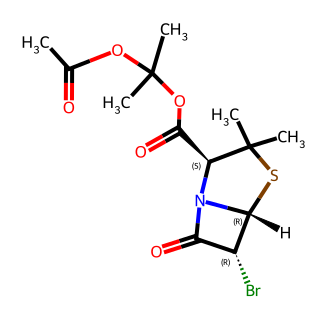 CC(=O)OC(C)(C)OC(=O)[C@@H]1N2C(=O)[C@@H](Br)[C@H]2SC1(C)C